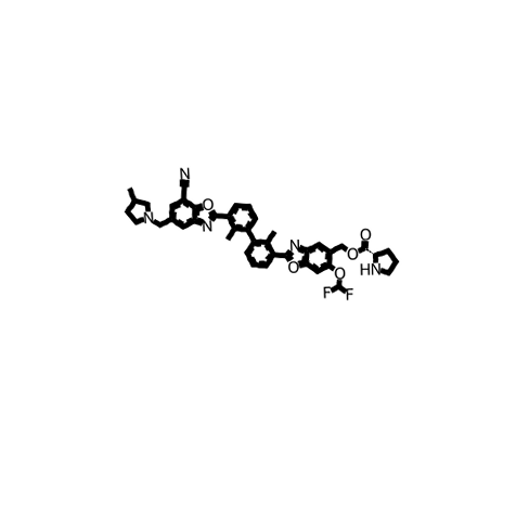 Cc1c(-c2nc3cc(COC(=O)[C@@H]4CCCN4)c(OC(F)F)cc3o2)cccc1-c1cccc(-c2nc3cc(CN4CCC(C)C4)cc(C#N)c3o2)c1C